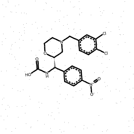 O=C(O)NC(c1ccc([N+](=O)[O-])cc1)[C@H]1CN(Cc2ccc(Cl)c(Cl)c2)CCO1